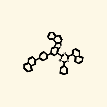 c1ccc(C2N=C(c3cccc4ccccc34)N=C(c3cc(-c4ccc(-c5ccc6ccccc6c5)cc4)cc4c3oc3ccc5ccccc5c34)N2)cc1